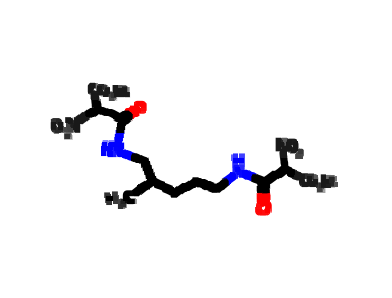 CCOC(=O)C(C(=O)NCCCC(C)CNC(=O)C(C(=O)OCC)[N+](=O)[O-])[N+](=O)[O-]